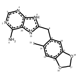 Nc1ncnc2[nH]c(Cc3cc4c(cc3I)OCO4)nc12